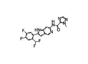 Cn1ncnc1C(=O)Nc1cc2[nH]c(-c3cc(F)c(F)cc3C(F)F)cc2cn1